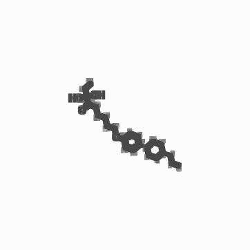 CCC[C@H]1CC[C@H](c2ccc(OCCCCCC(=O)C(O)(O)CC)cc2)CC1